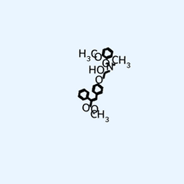 CCN(CC(O)COc1ccc(/C=C(/C(=O)OC)c2ccccc2)cc1)Oc1ccccc1OC